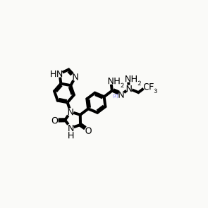 N/C(=N\N(N)CC(F)(F)F)c1ccc(C2C(=O)NC(=O)N2c2ccc3[nH]cnc3c2)cc1